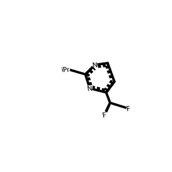 CC(C)c1nccc(C(F)F)n1